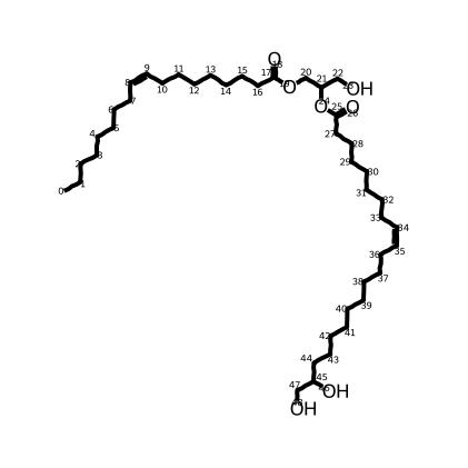 CCCCCCCC/C=C\CCCCCCCC(=O)OCC(CO)OC(=O)CCCCCCC/C=C\CCCCCCCCCC(O)CO